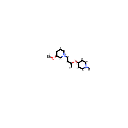 CCOC1CCCN(CCC(C)OC2CCN(C)CC2)C1